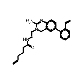 C=CCCCC(=O)NCCN1Cc2cc(-c3ccccc3C=C)ccc2N=C1N